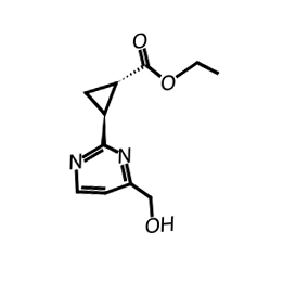 CCOC(=O)[C@H]1C[C@@H]1c1nccc(CO)n1